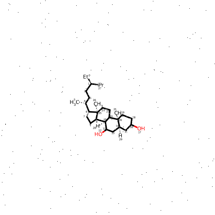 CC[C@H](CC[C@@H](C)[C@H]1CCC2[C@@H]3C(O)C[C@@H]4CC(O)CC[C@]4(C)C3CC[C@@]21C)C(C)C